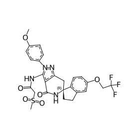 COc1ccc(-n2nc3c(c2NC(=O)CS(C)(=O)=O)C(=O)N[C@]2(CCc4cc(OCC(F)(F)F)ccc42)C3)cc1